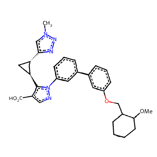 COC1CCCCC1COc1cccc(-c2cccc(-n3ncc(C(=O)O)c3[C@H]3C[C@@H]3c3cn(C)nn3)c2)c1